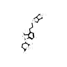 Cc1nn(C2CCC(=O)NC2=O)c2cccc(CCCN3CC4CNCC4C3)c12